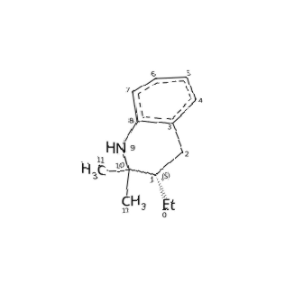 CC[C@H]1Cc2ccccc2NC1(C)C